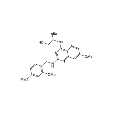 CCCCC(CO)Nc1nc(NCc2ccc(OC)cc2OC)nc2cc(OC)cnc12